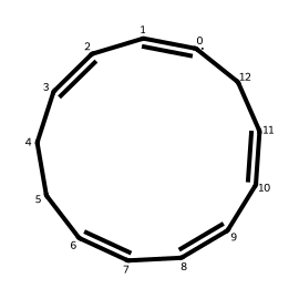 [C]1=CC=CCCC=CC=CC=CC1